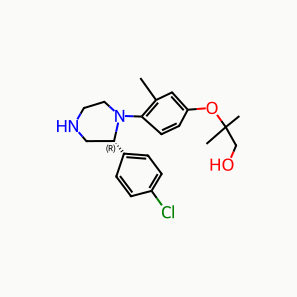 Cc1cc(OC(C)(C)CO)ccc1N1CCNC[C@H]1c1ccc(Cl)cc1